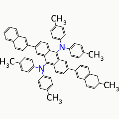 Cc1ccc(N(c2ccc(C)cc2)c2c3ccc(-c4ccc5ccccc5c4)cc3c(N(c3ccc(C)cc3)c3ccc(C)cc3)c3ccc(-c4ccc5c(c4)C=CC(C)C5)cc23)cc1